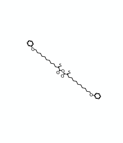 O=C(OC(=O)C(=S)CCCCCCCCCCOc1ccccc1)C(=S)CCCCCCCCCCOc1ccccc1